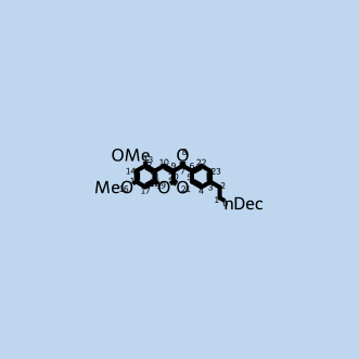 CCCCCCCCCCCCc1ccc(C(=O)c2cc3c(OC)cc(OC)cc3oc2=O)cc1